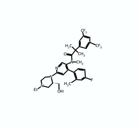 CCN1CCN(c2cc(-c3ccc(F)cc3C)c(N(C)C(=O)C(C)(C)c3cc(C(F)(F)F)cc(C(F)(F)F)c3)cn2)[C@H](CO)C1